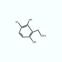 CCCCCCCCCc1c(O)ccc(CC)c1CCC